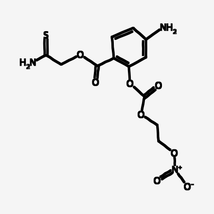 NC(=S)COC(=O)c1ccc(N)cc1OC(=O)OCCO[N+](=O)[O-]